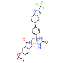 COc1ccc2c(c1)C(=O)N(C[C@@]1(c3ccc(-c4ccc5nc(C(F)(F)F)cn5c4)cc3)NC(=O)NC1=O)C2